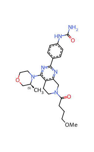 COCCCC(=O)N1CCc2c(nc(-c3ccc(NC(N)=O)cc3)nc2N2CCOC[C@@H]2C)C1